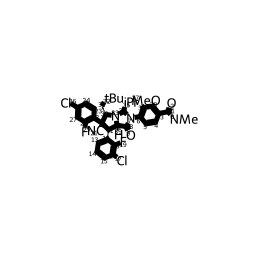 CNC(=O)c1ccc(N2C(=O)[C@H]3[C@H](c4cccc(Cl)c4F)[C@@](C#N)(c4ccc(Cl)cc4F)[C@H](CC(C)(C)C)N3C2C(C)C)c(OC)c1